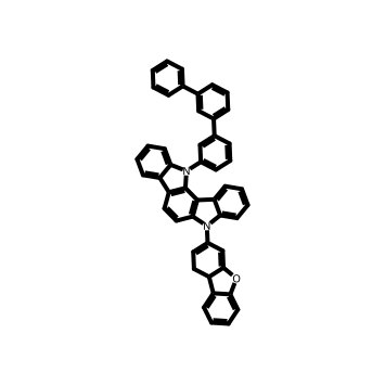 C1=C2Oc3ccccc3C2CC=C1n1c2ccccc2c2c1ccc1c3ccccc3n(-c3cccc(-c4cccc(-c5ccccc5)c4)c3)c12